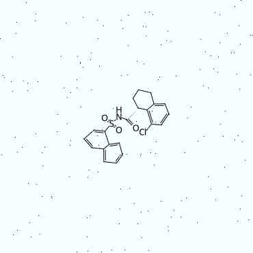 O=C(NS(=O)(=O)c1cccc2ccccc12)[C@@H]1CCCc2cccc(Cl)c21